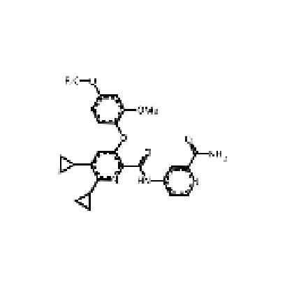 COc1cc(OC(F)(F)F)ccc1Oc1cc(C2CC2)c(C2CC2)nc1C(=O)Nc1ccnc(C(N)=O)c1